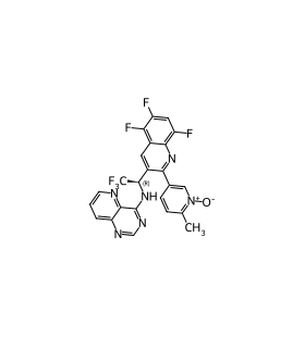 Cc1ccc(-c2nc3c(F)cc(F)c(F)c3cc2[C@@H](Nc2ncnc3cccnc23)C(F)(F)F)c[n+]1[O-]